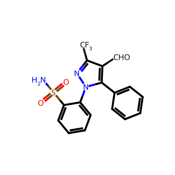 NS(=O)(=O)c1ccccc1-n1nc(C(F)(F)F)c(C=O)c1-c1ccccc1